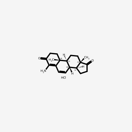 C[C@]12CCC(=O)C(N)=C1C=C[C@@H]1[C@@H]2CC[C@]2(C)C(=O)CC[C@@H]12.Cl